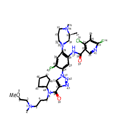 COCCN(C)CCCN(C(=O)c1cn(-c2cc(NC(=O)c3cnc(F)c(C)c3Cl)c(N3CCCN(C)[C@@H](C)C3)cc2F)nn1)C1CCCC1